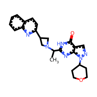 CC(c1nc2c(cnn2C2CCOCC2)c(=O)[nH]1)N1CC(c2ccc3ccccc3n2)C1